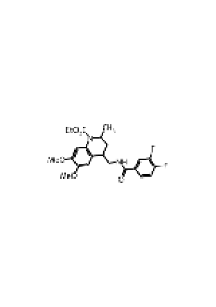 CCOC(=O)N1c2cc(OC)c(OC)cc2C(CNC(=O)c2ccc(F)c(F)c2)CC1C